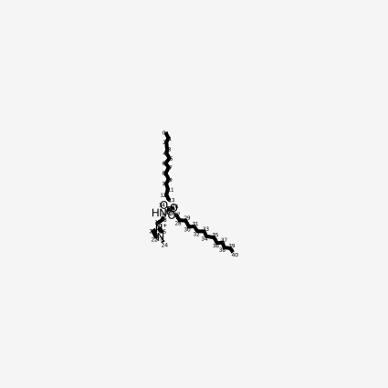 CCCCCCCCCCCCCCOP(=O)(NCC[n+]1ccn(C)c1)OCCCCCCCCCCCCCC